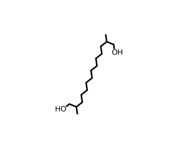 CC(CO)CCCCCCCCCCC(C)CO